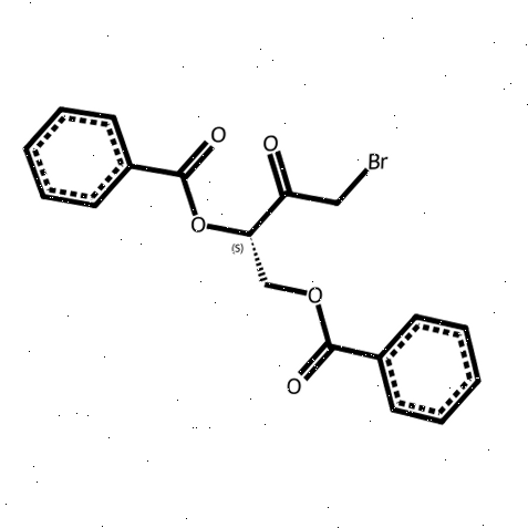 O=C(OC[C@H](OC(=O)c1ccccc1)C(=O)CBr)c1ccccc1